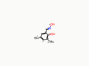 CC(C)(C)c1cc(/C=N/O)c(O)c(C(C)(C)C)c1